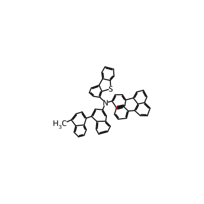 Cc1ccc(-c2cc(N(c3ccc(-c4cccc5cccc(-c6ccccc6)c45)cc3)c3cccc4c3sc3ccccc34)cc3ccccc23)c2ccccc12